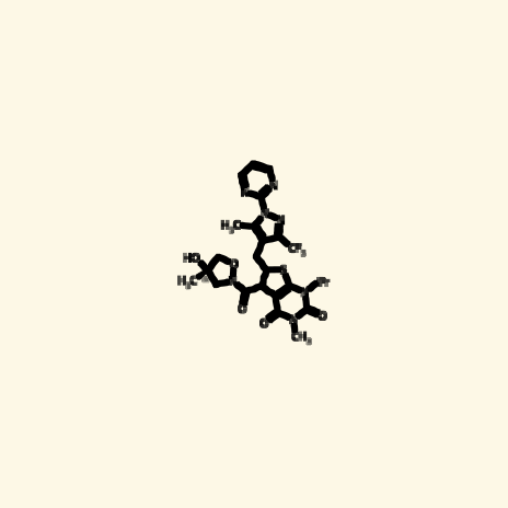 Cc1c(CC2Sc3c(c(=O)n(C)c(=O)n3C(C)C)C2C(=O)N2C[C@](C)(O)CO2)c(C(F)(F)F)nn1-c1ncccn1